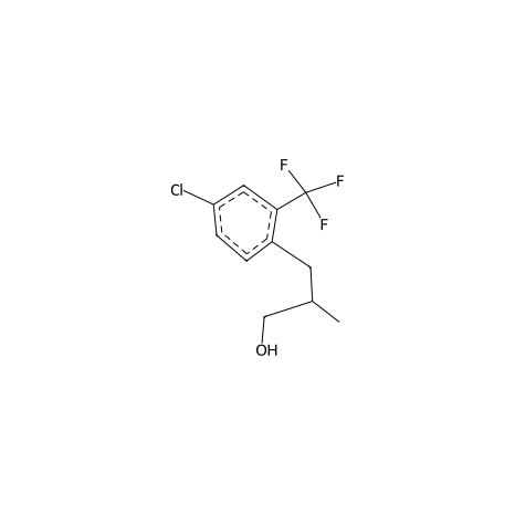 CC(CO)Cc1ccc(Cl)cc1C(F)(F)F